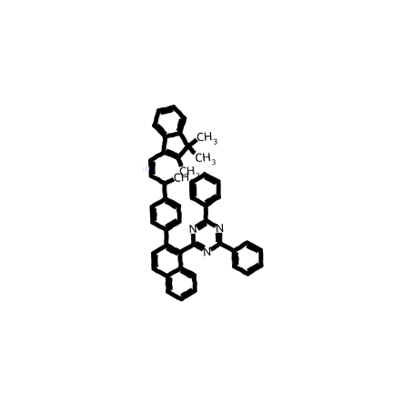 CC1=C(/C=C\C(C)c2ccc(-c3ccc4ccccc4c3-c3nc(-c4ccccc4)nc(-c4ccccc4)n3)cc2)c2ccccc2C1(C)C